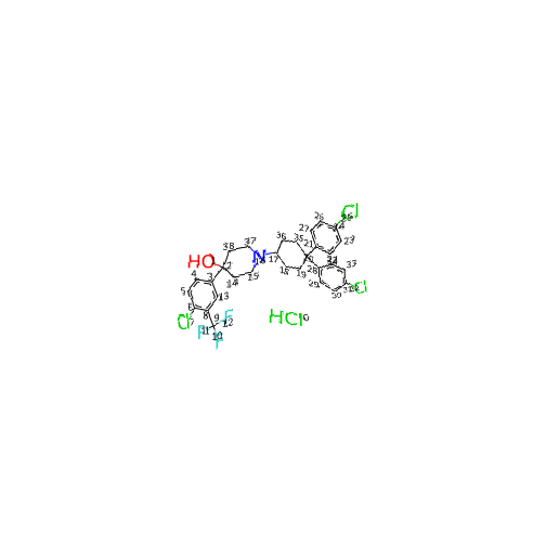 Cl.OC1(c2ccc(Cl)c(C(F)(F)F)c2)CCN(C2CCC(c3ccc(Cl)cc3)(c3ccc(Cl)cc3)CC2)CC1